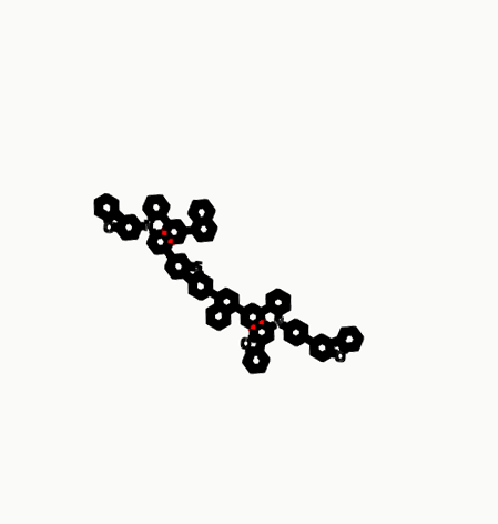 c1cc(-c2ccccc2N(c2ccc(-c3ccc4c(c3)sc3cc(-c5ccc(-c6cccc(-c7ccccc7N(c7ccc(-c8ccc9oc%10ccccc%10c9c8)cc7)c7ccc8oc9ccccc9c8c7)c6)c6ccccc56)ccc34)cc2)c2ccc3oc4ccccc4c3c2)cc(-c2cccc3ccccc23)c1